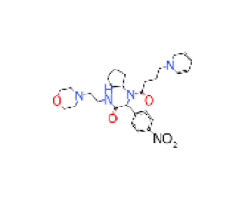 O=C(NCCN1CCOCC1)C(c1ccc([N+](=O)[O-])cc1)N(C(=O)CCCN1C=CC=CC1)C1CCCC1